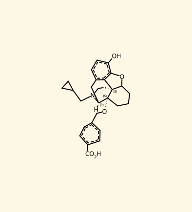 O=C(O)c1ccc(CO[C@@]23CCCC4Oc5c(O)ccc6c5[C@@]42CCN(CC2CC2)[C@@H]3C6)cc1